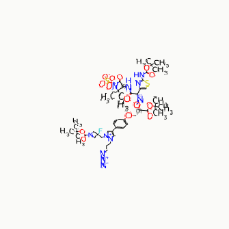 CC(C)(C)OC(=O)Nc1nc(/C(=N/O[C@@H](COc2ccc(-c3cn(CCCN=[N+]=[N-])[n+](CC4(F)CN(C(=O)OC(C)(C)C)C4)c3)cc2)C(=O)OC(C)(C)C)C(=O)N[C@@H]2C(=O)N(OS(=O)(=O)[O-])C2(C)C)cs1